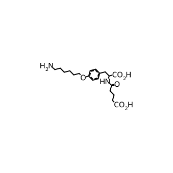 NCCCCCCOc1ccc(CC(NC(=O)CCCC(=O)O)C(=O)O)cc1